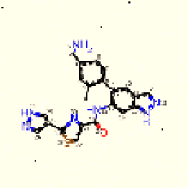 Cc1cc(CN)ccc1-c1cc2cn[nH]c2cc1NC(=O)c1csc(-c2cn[nH]c2)n1